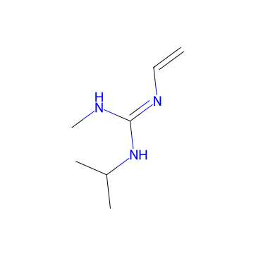 C=C/N=C(\NC)NC(C)C